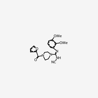 COc1cccc(N=C(NC#N)N2CCN(C(=O)c3ccco3)CC2)c1OC